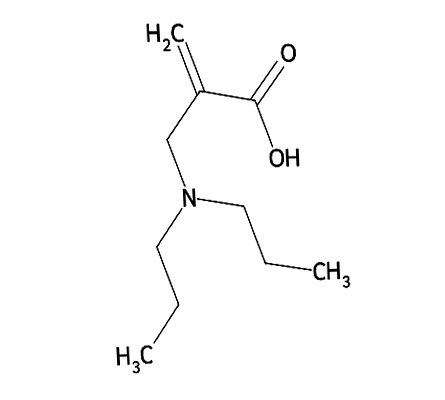 C=C(CN(CCC)CCC)C(=O)O